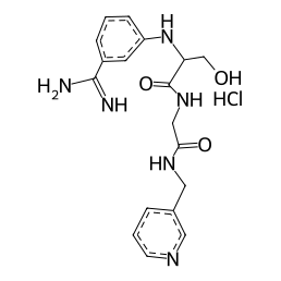 Cl.N=C(N)c1cccc(NC(CO)C(=O)NCC(=O)NCc2cccnc2)c1